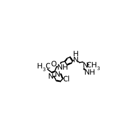 CCc1nc2ccc(Cl)cn2c1C(=O)NCc1ccc(NCCN(C)C=N)cc1